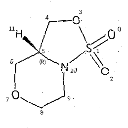 O=S1(=O)OC[C@H]2COCCN21